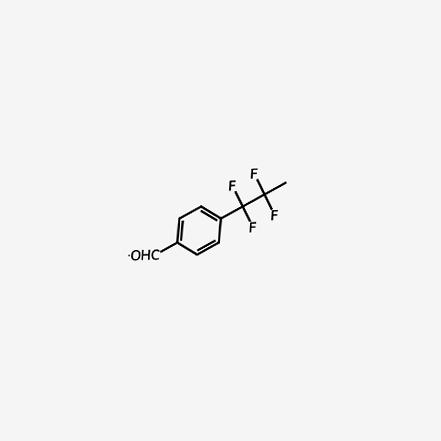 CC(F)(F)C(F)(F)c1ccc([C]=O)cc1